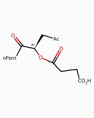 CCCCCC(=O)[C@@H](CC(C)=O)OC(=O)CCC(=O)O